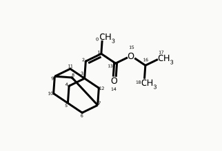 CC(=CC12CC3CC(CC(C3)C1)C2)C(=O)OC(C)C